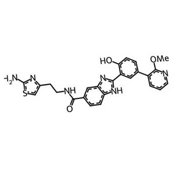 COc1ncccc1-c1ccc(O)c(-c2nc3cc(C(=O)NCCc4csc(N)n4)ccc3[nH]2)c1